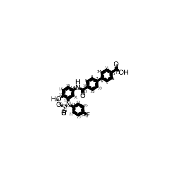 O=C(O)c1ccc(-c2ccc(C(=O)Nc3ccc(O)c(N(c4ccc(F)cc4)[SH](=O)=O)c3)cc2)cc1